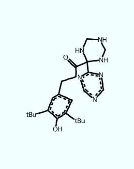 CC(C)(C)c1cc(CCC(=O)C2(c3ncncn3)NCNCN2)cc(C(C)(C)C)c1O